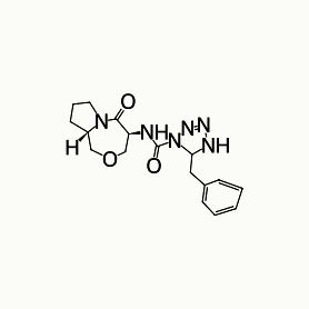 O=C(N[C@H]1COC[C@@H]2CCCN2C1=O)N1N=NNC1Cc1ccccc1